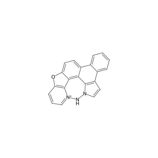 c1ccc2c(c1)c1ccc3oc4ccc[n+]5[nH]n6ccc2c6c1c3c45